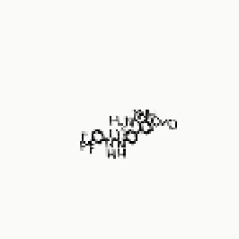 COCCOc1ccc(-c2ccc(NC(=O)Nc3cccc(C(F)(F)F)c3)cc2)c2c(N)n[nH]c12